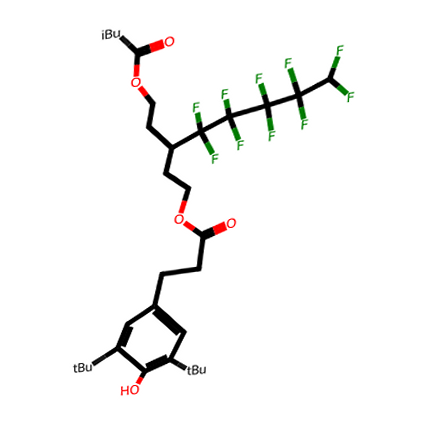 CCC(C)C(=O)OCCC(CCOC(=O)CCc1cc(C(C)(C)C)c(O)c(C(C)(C)C)c1)C(F)(F)C(F)(F)C(F)(F)C(F)(F)C(F)F